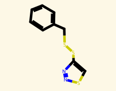 c1ccc(CSSc2csnn2)cc1